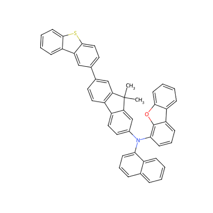 CC1(C)c2cc(-c3ccc4sc5ccccc5c4c3)ccc2-c2ccc(N(c3cccc4ccccc34)c3cccc4c3oc3ccccc34)cc21